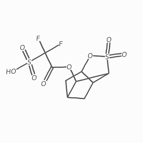 O=C(OC1C2CC3OS(=O)(=O)C1C3C2)C(F)(F)S(=O)(=O)O